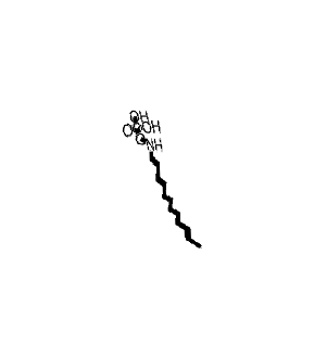 CCCCCCCCCCCCNOP(=O)(O)O